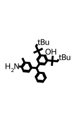 Cc1cc(C(c2ccccc2)c2cc(C(C)(C)CC(C)(C)C)c(O)c(C(C)(C)CC(C)(C)C)c2)ccc1N